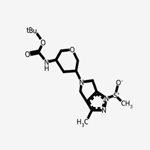 Cc1nn([S+](C)[O-])c2c1CN(C1COCC(NC(=O)OC(C)(C)C)C1)C2